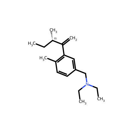 C=C(c1cc(CN(CC)CC)ccc1C)[C@@H](C)CC